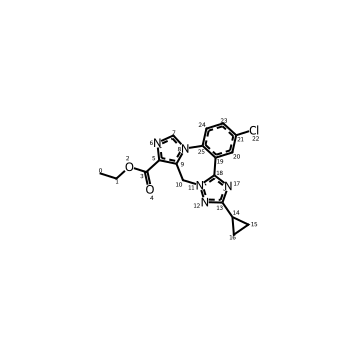 CCOC(=O)c1ncn2c1Cn1nc(C3CC3)nc1-c1cc(Cl)ccc1-2